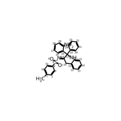 Cc1ccc(S(=O)(=O)N=C(Cc2ccccc2)C(N)(c2ccccc2)c2ccccc2[N+](=O)[O-])cc1